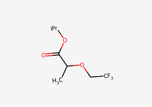 CC(C)OC(=O)C(C)OCC(F)(F)F